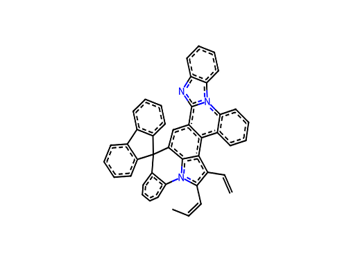 C=Cc1c(/C=C\C)n2c3c(cc4c(c5ccccc5n5c6ccccc6nc45)c13)C1(c3ccccc3-c3ccccc31)c1ccccc1-2